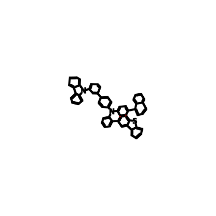 c1cc(-c2ccc(N(c3ccc(-c4cccc5ccccc45)cc3)c3ccccc3-c3ccc4sc5ccccc5c4c3)cc2)cc(-n2c3ccccc3c3ccccc32)c1